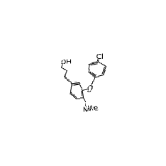 CNCc1ccc(CCCO)cc1Oc1ccc(Cl)cc1